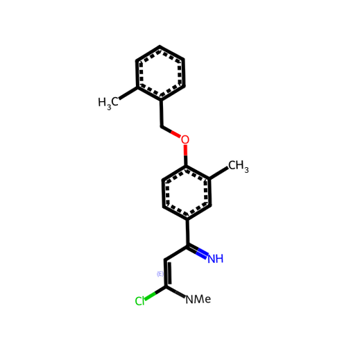 CN/C(Cl)=C\C(=N)c1ccc(OCc2ccccc2C)c(C)c1